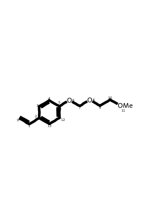 C=Cc1ccc(OCOCCOC)cc1